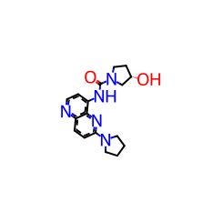 O=C(Nc1ccnc2ccc(N3CCCC3)nc12)N1CC[C@H](O)C1